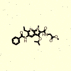 CCc1nc2c(cc1NC(=O)c1ccccc1)c(OC(C)C)c(C(=O)NCC(=O)OC)n2C